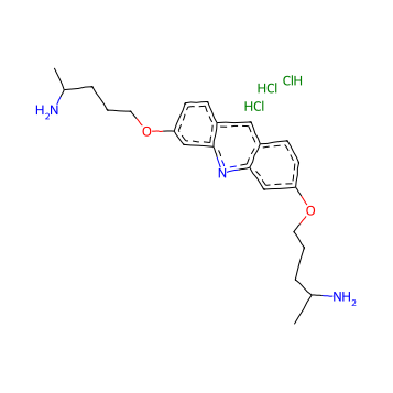 CC(N)CCCOc1ccc2cc3ccc(OCCCC(C)N)cc3nc2c1.Cl.Cl.Cl